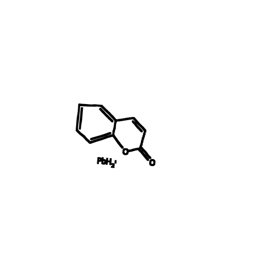 O=c1ccc2ccccc2o1.[PbH2]